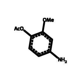 COc1cc(N)ccc1OC(C)=O